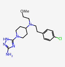 COCCN(CCc1ccc(Cl)cc1)C1CCN(c2nc(N)n[nH]2)CC1